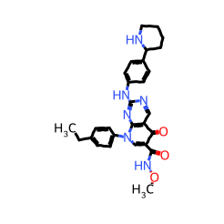 CCc1ccc(-n2cc(C(=O)NOC)c(=O)c3cnc(Nc4ccc(C5CCCCN5)cc4)nc32)cc1